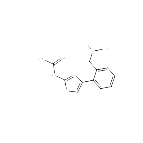 CN(C)Cc1ccccc1-c1csc(NC(=N)N)n1